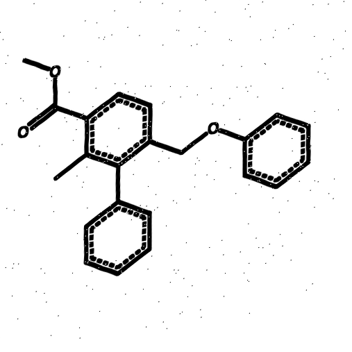 COC(=O)c1ccc(COc2ccccc2)c(-c2ccccc2)c1C